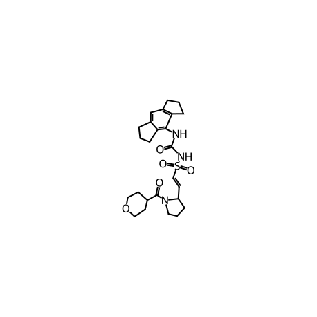 O=C(Nc1c2c(cc3c1CCC3)CCC2)NS(=O)(=O)/C=C/C1CCCN1C(=O)C1CCOCC1